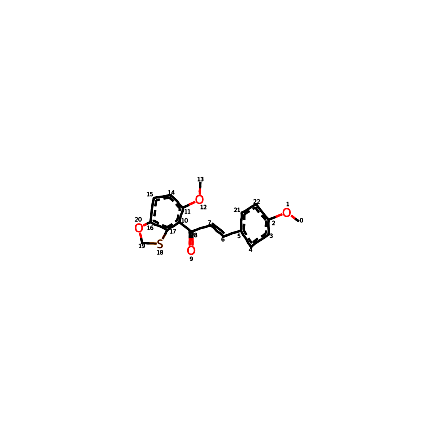 COc1ccc(C=CC(=O)c2c(OC)ccc3c2SCO3)cc1